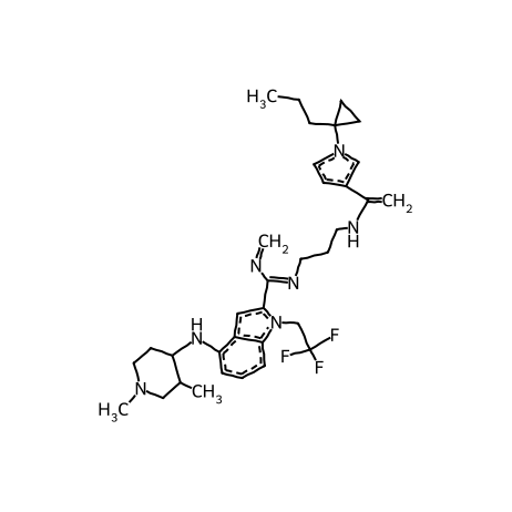 C=N/C(=N\CCCNC(=C)c1ccn(C2(CCC)CC2)c1)c1cc2c(NC3CCN(C)CC3C)cccc2n1CC(F)(F)F